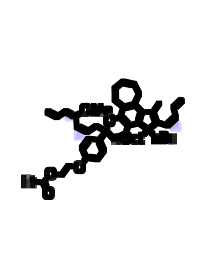 C=C/C=C\C1=C(C)c2c3c(c4c(c2C1(CCCC)CCCCCCCC)C=CC(C/C=C\C(=C/C=C)OC)(c1ccc(OCCOC(=O)CC)cc1)O4)C=CC=CC3